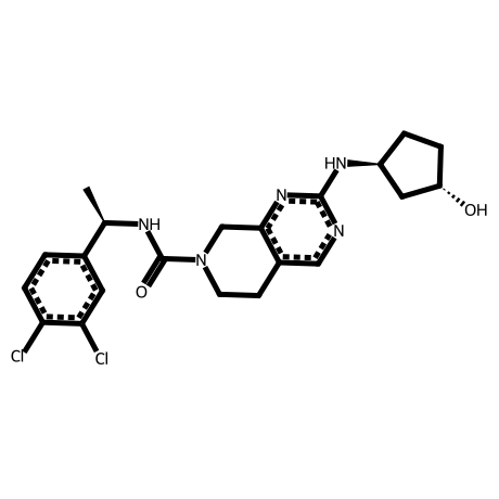 C[C@@H](NC(=O)N1CCc2cnc(N[C@H]3CC[C@H](O)C3)nc2C1)c1ccc(Cl)c(Cl)c1